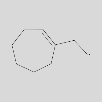 [CH2]CC1=CCCCCC1